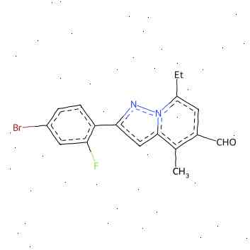 CCc1cc(C=O)c(C)c2cc(-c3ccc(Br)cc3F)nn12